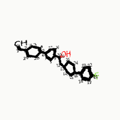 CCC1CCC(c2ccc(C(O)CC3CCC(c4ccc(F)cc4)CC3)cc2)CC1